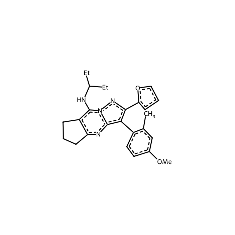 CCC(CC)Nc1c2c(nc3c(-c4ccc(OC)cc4C)c(-c4ccco4)nn13)CCC2